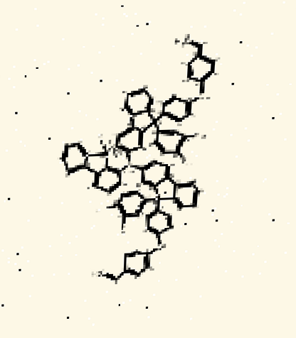 C=Cc1ccc(Oc2ccc(C3(c4ccc(F)c(F)c4)c4ccccc4-c4ccc(N(c5ccc6c(c5)C(c5ccc(Oc7ccc(C=C)cc7)cc5)(c5ccc(F)c(F)c5)c5ccccc5-6)c5cccc6c5C(C)(C)c5ccccc5-6)cc43)cc2)cc1